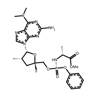 COC(=O)[C@@H](C)N[P@](=O)(OC[C@]1(F)C[C@H](C)[C@H](n2cnc3c(N(C)C)nc(N)nc32)O1)Oc1ccccc1